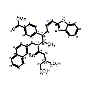 COC(=O)c1ccc([C@@H](C/C=C\c2nc3ccccc3o2)[C@@H](C)N(Cc2ccc3ccccc3c2)C(=O)C[C@H](CC(=O)O)C(=O)O)cc1